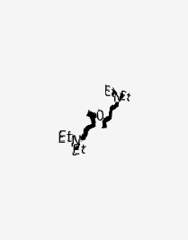 C=C(CCCN(CC)CC)OC(=C)CCCN(CC)CC